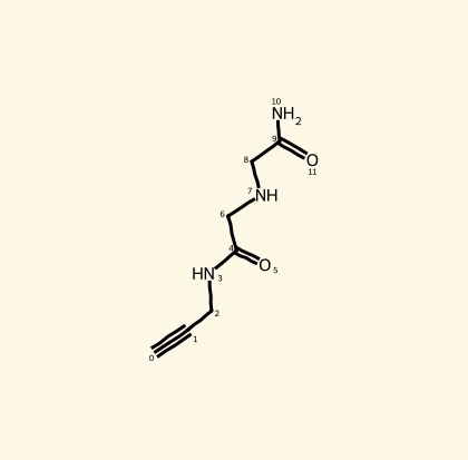 C#CCNC(=O)CNCC(N)=O